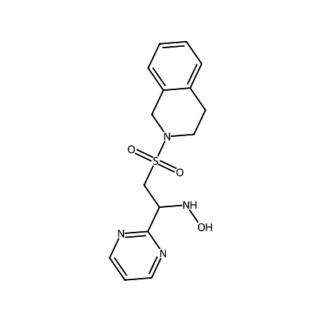 O=S(=O)(CC(NO)c1ncccn1)N1CCc2ccccc2C1